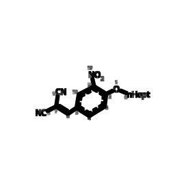 CCCCCCCOc1ccc(C=C(C#N)C#N)cc1[N+](=O)[O-]